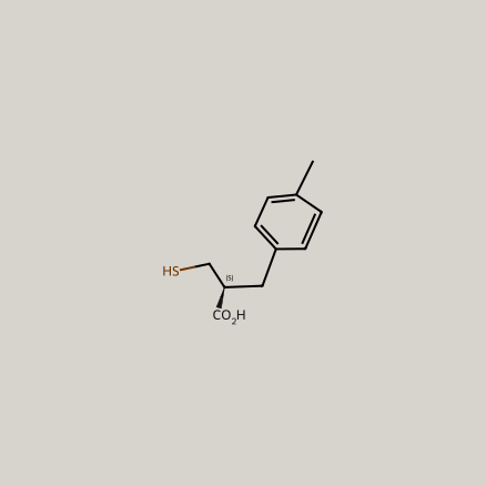 Cc1ccc(C[C@H](CS)C(=O)O)cc1